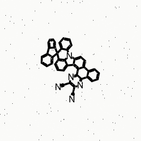 N#Cc1nc2c3ccccc3c3ccc4c(c5cccc6c5n4-c4ccccc4C64c5ccccc5-c5ccccc54)c3c2nc1C#N